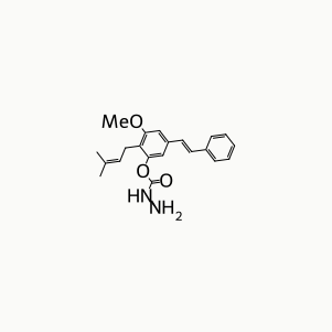 COc1cc(/C=C/c2ccccc2)cc(OC(=O)NN)c1CC=C(C)C